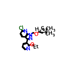 CCOc1ncccc1-c1nn(COCC[Si](C)(C)C)c2nc(Cl)ccc12